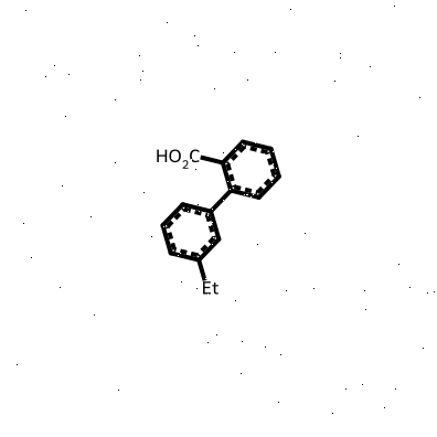 CCc1cccc(-c2ccccc2C(=O)O)c1